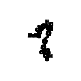 CNC(=O)COc1cc2cc(Nc3nc(N4CCC(CCN5CCN(c6ccc7c(c6)C(=O)N(C6CCC(=O)NC6=O)C7=O)CC5)CC4)ncc3Cl)ccc2n(C)c1=O